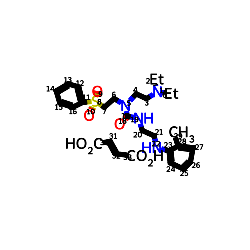 CCN(CC)CCN(CCS(=O)(=O)c1ccccc1)C(=O)NCCNc1ccccc1C.O=C(O)C=CC(=O)O